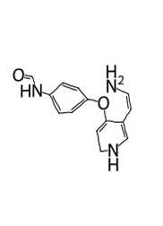 N/C=C\C1=CNCC=C1Oc1ccc(NC=O)cc1